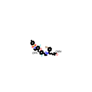 COC(=O)C(C)(C)CCCC(c1cccc(Br)c1)n1ccc(-c2cc(Oc3c(F)cc4c(ccn4S(=O)(=O)c4ccc(C)cc4)c3CC=O)ccc2F)n1